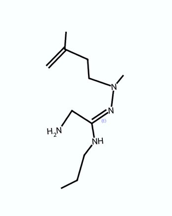 C=C(C)CCN(C)/N=C(\CN)NCCC